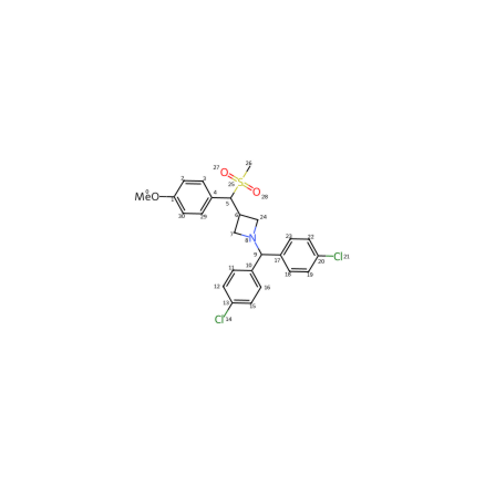 COc1ccc(C(C2CN(C(c3ccc(Cl)cc3)c3ccc(Cl)cc3)C2)S(C)(=O)=O)cc1